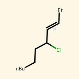 CC/C=C/C(Cl)CCCCCC